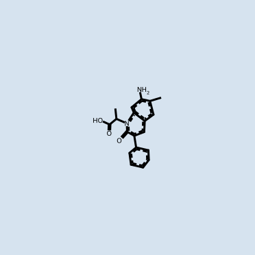 Cc1cc2cc(-c3ccccc3)c(=O)n(C(C)C(=O)O)c2cc1N